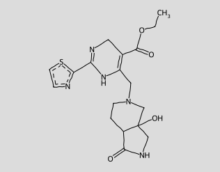 CCOC(=O)C1=C(CN2CCC3C(=O)NCC3(O)C2)NC(c2nccs2)=NC1